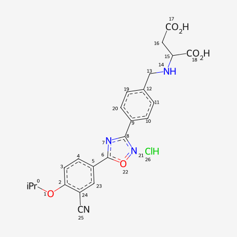 CC(C)Oc1ccc(-c2nc(-c3ccc(CNC(CC(=O)O)C(=O)O)cc3)no2)cc1C#N.Cl